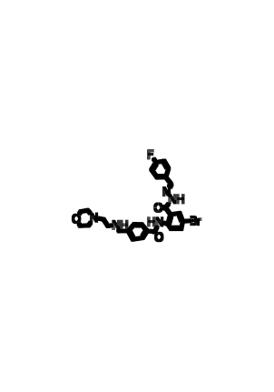 O=C(Nc1ccc(Br)cc1C(=O)NN=Cc1ccc(F)cc1)c1ccc(CNCCN2CCOCC2)cc1